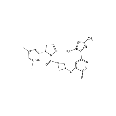 Cc1cn(C)c(-c2cc(OC3CN(C(=O)N4N=CC[C@H]4c4cc(F)cc(F)c4)C3)c(F)cn2)n1